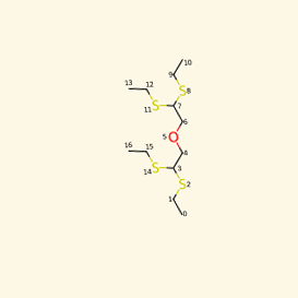 CCSC(COCC(SCC)SCC)SCC